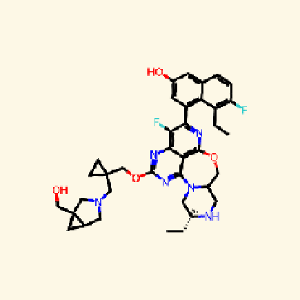 CCc1c(F)ccc2cc(O)cc(-c3nc4c5c(nc(OCC6(CN7CC8CC8(CO)C7)CC6)nc5c3F)N3C[C@@H](CC)NCC3CO4)c12